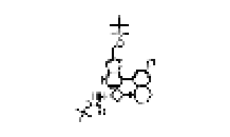 CC(C)(C)OC(=O)NC1CC(N2CCCc3cc(Cl)cc(-c4ccnc5cc(CO[Si](C)(C)C(C)(C)C)sc45)c32)C1